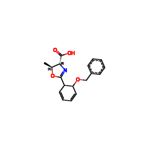 C[C@@H]1OC(C2C=CC=CC2OCc2ccccc2)=N[C@H]1C(=O)O